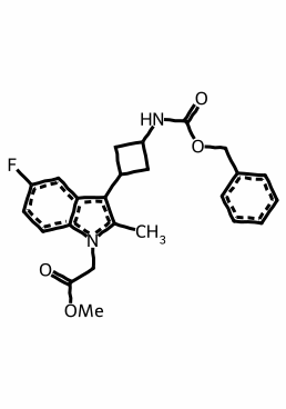 COC(=O)Cn1c(C)c(C2CC(NC(=O)OCc3ccccc3)C2)c2cc(F)ccc21